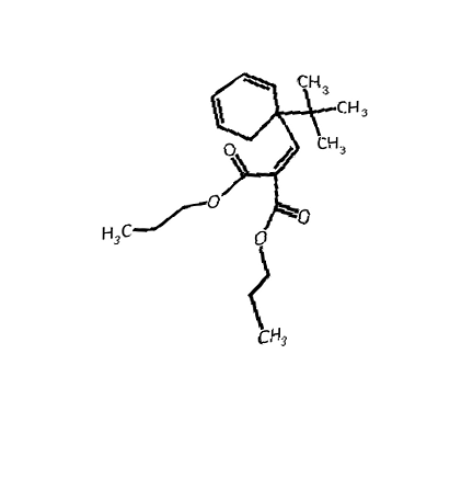 CCCOC(=O)C(=CC1(C(C)(C)C)C=CC=CC1)C(=O)OCCC